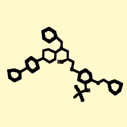 CS(=O)(=O)Nc1cc(OC[C@@H](O)CN(Cc2ccccc2)C2CCC(c3ccc(-c4ccccc4)cc3)CC2)ccc1OCc1ccccc1